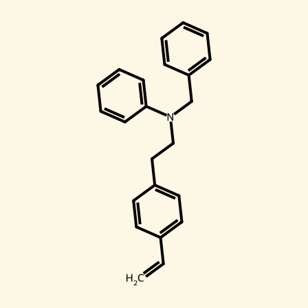 C=Cc1ccc(CCN(Cc2ccccc2)c2ccccc2)cc1